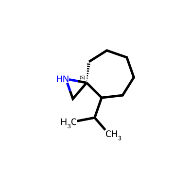 CC(C)C1CCCCC[C@@]12CN2